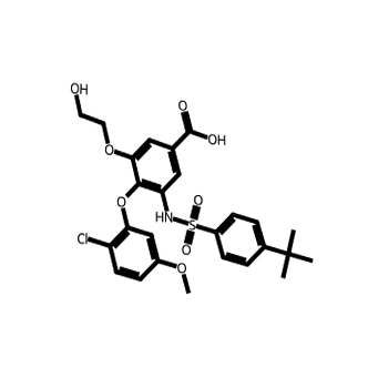 COc1ccc(Cl)c(Oc2c(NS(=O)(=O)c3ccc(C(C)(C)C)cc3)cc(C(=O)O)cc2OCCO)c1